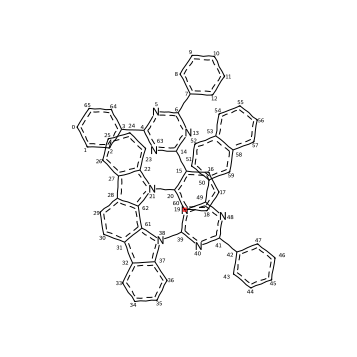 c1ccc(-c2nc(-c3ccccc3)nc(-c3ccccc3-n3c4ccccc4c4ccc5c6ccccc6n(-c6nc(-c7ccccc7)nc(-c7ccc8ccccc8c7)n6)c5c43)n2)cc1